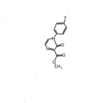 COC(=O)c1nccn(-c2ccc(F)cc2)c1=O